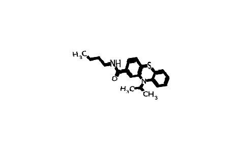 CCCCNC(=O)c1ccc2c(c1)N(C(C)C)c1ccccc1S2